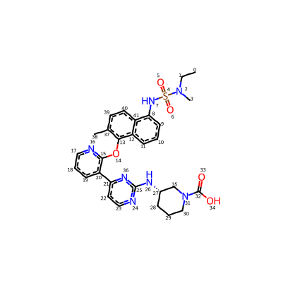 CCN(C)S(=O)(=O)Nc1cccc2c(Oc3ncccc3-c3ccnc(N[C@H]4CCCN(C(=O)O)C4)n3)c(C)ccc12